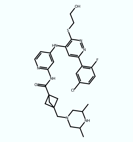 CC1CN(CC23CC(C(=O)Nc4cc(Nc5cc(-c6cc(Cl)ccc6F)nnc5SCCO)ccn4)(C2)C3)CC(C)N1